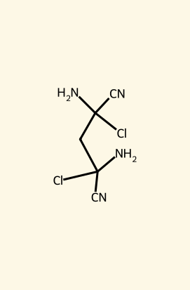 N#CC(N)(Cl)CC(N)(Cl)C#N